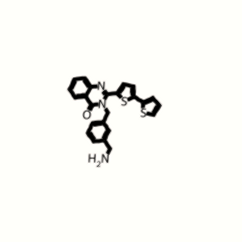 NCc1cccc(Cn2c(-c3ccc(-c4cccs4)s3)nc3ccccc3c2=O)c1